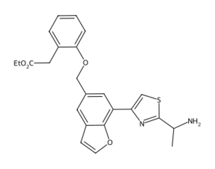 CCOC(=O)Cc1ccccc1OCc1cc(-c2csc(C(C)N)n2)c2occc2c1